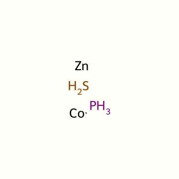 P.S.[Co].[Zn]